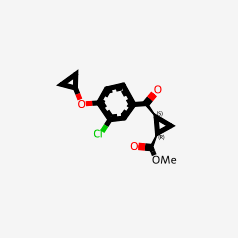 COC(=O)[C@@H]1C[C@@H]1C(=O)c1ccc(OC2CC2)c(Cl)c1